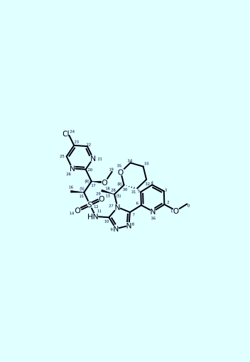 COc1cccc(-c2nnc(NS(=O)(=O)[C@@H](C)[C@H](OC)c3ncc(Cl)cn3)n2[C@@H](C)[C@H]2CCCCO2)n1